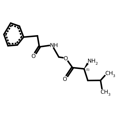 CC(C)C[C@H](N)C(=O)OCNC(=O)Cc1ccccc1